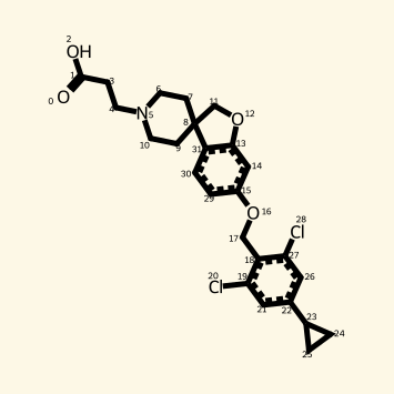 O=C(O)CCN1CCC2(CC1)COc1cc(OCc3c(Cl)cc(C4CC4)cc3Cl)ccc12